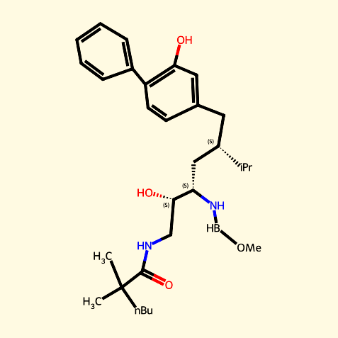 CCCCC(C)(C)C(=O)NC[C@H](O)[C@H](C[C@H](Cc1ccc(-c2ccccc2)c(O)c1)C(C)C)NBOC